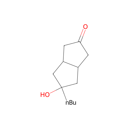 CCCCC1(O)CC2CC(=O)CC2C1